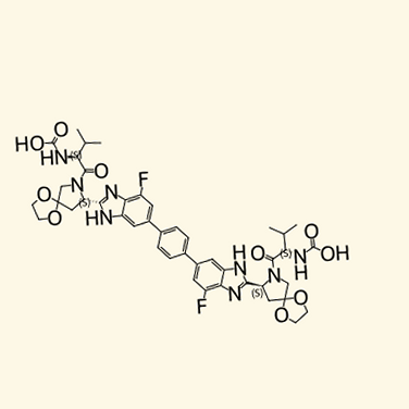 CC(C)[C@H](NC(=O)O)C(=O)N1CC2(C[C@H]1c1nc3c(F)cc(-c4ccc(-c5cc(F)c6nc([C@@H]7CC8(CN7C(=O)[C@@H](NC(=O)O)C(C)C)OCCO8)[nH]c6c5)cc4)cc3[nH]1)OCCO2